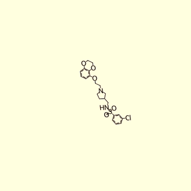 O=S(=O)(NCC1CCN(CCOc2cccc3c2OCCO3)C1)c1cccc(Cl)c1